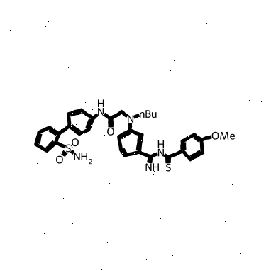 CCCCN(CC(=O)Nc1ccc(-c2ccccc2S(N)(=O)=O)cc1)c1cccc(C(=N)NC(=S)c2ccc(OC)cc2)c1